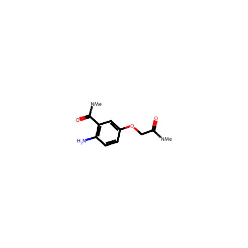 CNC(=O)COc1ccc(N)c(C(=O)NC)c1